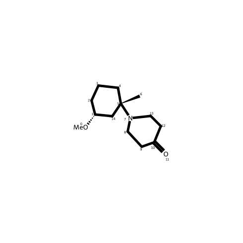 CO[C@@H]1CCC[C@](C)(N2CCC(=O)CC2)C1